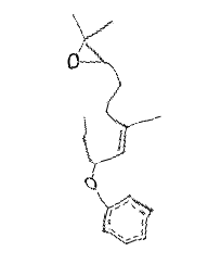 CCC(C=C(C)CCC1OC1(C)C)Oc1ccccc1